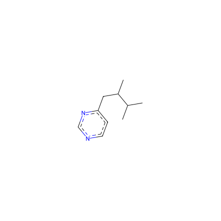 CC(C)C(C)Cc1ccncn1